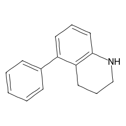 c1ccc(-c2cccc3c2CCCN3)cc1